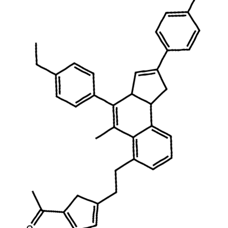 CCc1ccc(C2=C(C)c3c(CCC4=CC=C(C(C)=O)C4)cccc3C3CC(c4ccc(F)cc4)=CC23)cc1